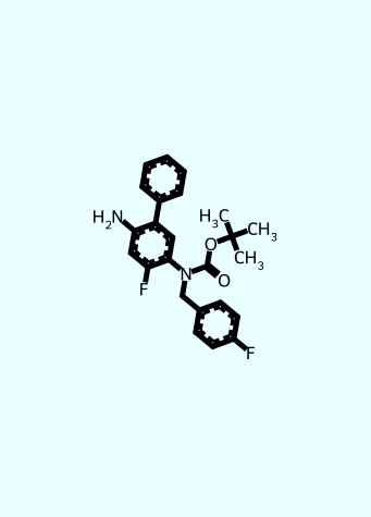 CC(C)(C)OC(=O)N(Cc1ccc(F)cc1)c1cc(-c2ccccc2)c(N)cc1F